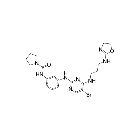 O=C(Nc1cccc(Nc2ncc(Br)c(NCCCNC3=NCCO3)n2)c1)N1CCCC1